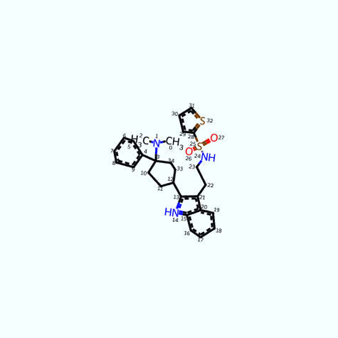 CN(C)C1(c2ccccc2)CCC(c2[nH]c3ccccc3c2CCNS(=O)(=O)c2cccs2)CC1